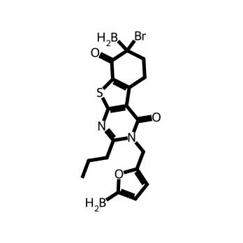 Bc1ccc(Cn2c(CCC)nc3sc4c(c3c2=O)CCC(B)(Br)C4=O)o1